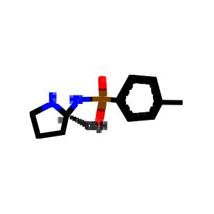 Cc1ccc(S(=O)(=O)N[C@@]2(C(=O)O)CCCN2)cc1